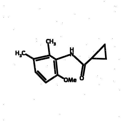 COc1ccc(C)c(C)c1NC(=O)C1CC1